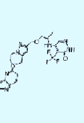 CC(COCc1cc2n(n1)CCN(c1ccn3nccc3n1)C2)Nc1cn[nH]c(=O)c1C(F)(F)F